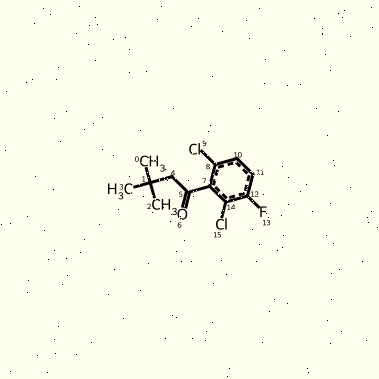 CC(C)(C)CC(=O)c1c(Cl)ccc(F)c1Cl